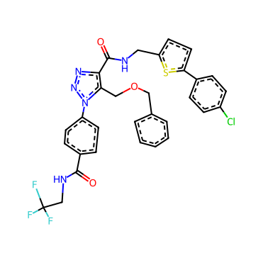 O=C(NCC(F)(F)F)c1ccc(-n2nnc(C(=O)NCc3ccc(-c4ccc(Cl)cc4)s3)c2COCc2ccccc2)cc1